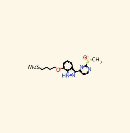 CSCCCCOc1cccc2c(-c3ccnc([S+](C)[O-])n3)n[nH]c12